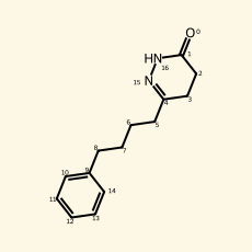 O=C1CCC(CCCCc2ccccc2)=NN1